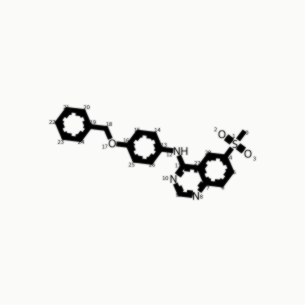 CS(=O)(=O)c1ccc2ncnc(Nc3ccc(OCc4ccccc4)cc3)c2c1